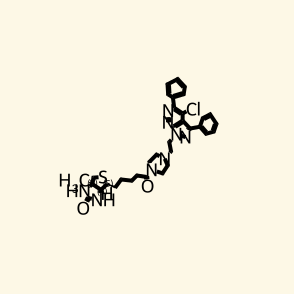 C[C@]12CS[C@@H](CCCCC(=O)N3CCN(CCn4nc(-c5ccccc5)c5c(Cl)c(-c6ccccc6)nnc54)CC3)[C@H]1NC(=O)N2